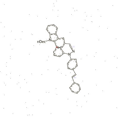 CCCCCCCCCCn1c2ccccc2c2cc(/C=N\N(c3ccccc3)c3ccc(/C=C/c4ccccc4)cc3)ccc21